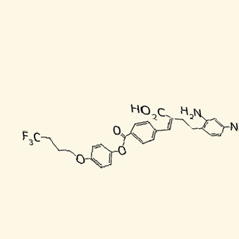 Nc1ccc(CCC(=Cc2ccc(C(=O)Oc3ccc(OCCCC(F)(F)F)cc3)cc2)C(=O)O)c(N)c1